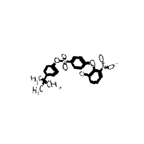 CC(C)(C)c1ccc(OS(=O)(=O)c2ccc(Oc3c(Cl)cccc3[N+](=O)[O-])cc2)cc1